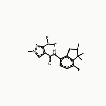 CC1Cc2c(NC(=O)c3cn(C)nc3C(F)F)ccc(F)c2C1(C)C